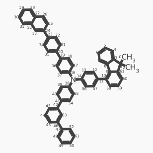 CC1(C)c2ccccc2-c2c(-c3ccc(N(c4ccc(-c5ccc(-c6ccc7ccccc7c6)cc5)cc4)c4ccc(-c5cccc(-c6ccccc6)c5)cc4)cc3)cccc21